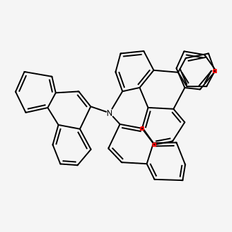 c1ccc(-c2ccccc2-c2c(-c3ccccc3)cccc2N(c2ccc3ccccc3c2)c2cc3ccccc3c3ccccc23)cc1